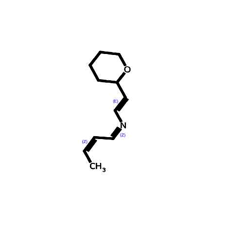 C\C=C/C=N\C=C\C1CCCCO1